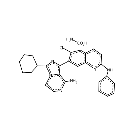 NC(=O)O.Nc1nccn2c(C3CCCCC3)nc(-c3cc4nc(Nc5ccccc5)ccc4cc3Cl)c12